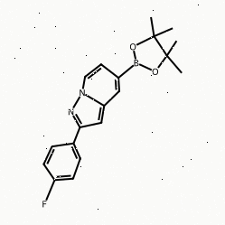 CC1(C)OB(c2ccn3nc(-c4ccc(F)cc4)cc3c2)OC1(C)C